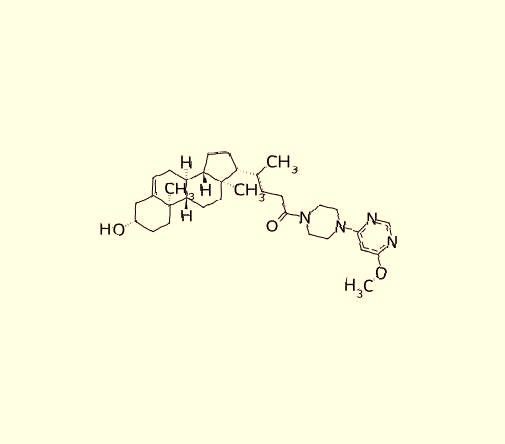 COc1cc(N2CCN(C(=O)CCC(C)[C@H]3CC[C@H]4[C@@H]5CC=C6C[C@@H](O)CC[C@]6(C)[C@H]5CC[C@]34C)CC2)ncn1